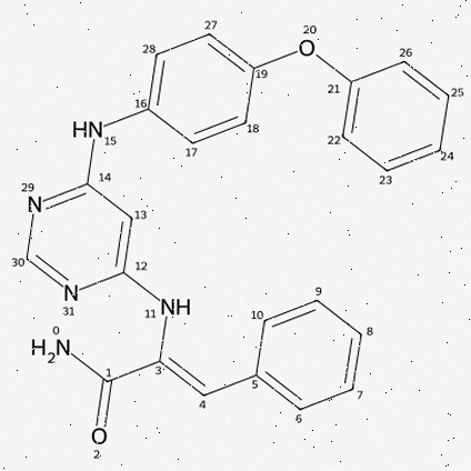 NC(=O)C(=Cc1ccccc1)Nc1cc(Nc2ccc(Oc3ccccc3)cc2)ncn1